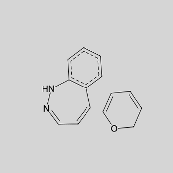 C1=CCOC=C1.C1=Cc2ccccc2NN=C1